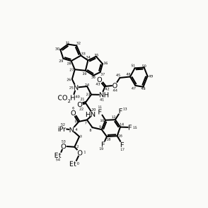 CCOC(CN(C(=O)C(Cc1c(F)c(F)c(F)c(F)c1F)NC(=O)C(CN(CC1c2ccccc2-c2ccccc21)C(=O)O)NC(=O)OCc1ccccc1)C(C)C)OCC